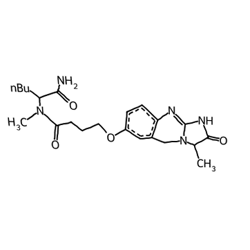 CCCCC(C(N)=O)N(C)C(=O)CCCOc1ccc2c(c1)CN1C(=N2)NC(=O)C1C